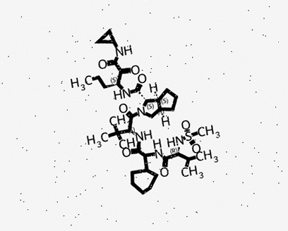 CCC[C@H](NC(=O)[C@@H]1[C@H]2CCC[C@H]2CN1C(=O)[C@@H](NC(=O)C(NC(=O)[C@H](NS(C)(=O)=O)C(C)C)C1CCCCC1)C(C)(C)C)C(=O)C(=O)NC1CC1